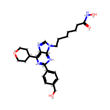 O=C(CCCCCCn1cnc2c(C3CCOCC3)nc(-c3ccc(CO)cc3)nc21)NO